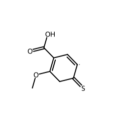 COC1=C(C(=O)O)C=[C]C(=S)C1